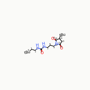 CC(C)(C)CCNC(=O)NCCCN1C(=O)CC(C(C)(C)C)C1=O